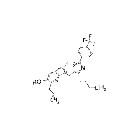 C=CCc1nc2c(cc1O)cc(I)n2Cc1sc(-c2ccc(C(F)(F)F)cc2)nc1CCCC